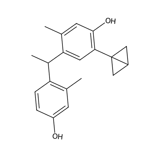 Cc1cc(O)ccc1C(C)c1cc(C23CC2C3)c(O)cc1C